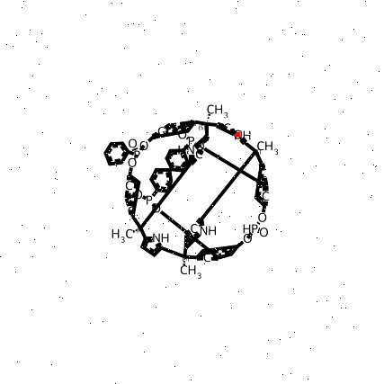 C[C@]12c3cc4cc(c3)O[PH](=O)Oc3cc5cc(c3)[C@](C)(c3ccc1[nH]3)c1ccc([nH]1)[C@@]1(C)c3cc(cc(c3)OP(=O)(c3ccccc3)Oc3cc(cc(c3)[C@@](C)(c3ccc2[nH]3)c2ccc1[nH]2)OP(c1ccccc1)O4)OP(c1ccccc1)O5